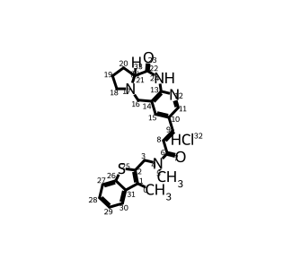 Cc1c(CN(C)C(=O)C=Cc2cnc3c(c2)CN2CCC[C@@H]2C(=O)N3)sc2ccccc12.Cl